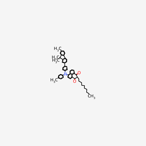 CCCCCCCCCCC1C(=O)c2cccc3c(N(c4ccc(C)cc4)c4ccc(-c5ccc6c(c5)C(C)(C)c5cc(C)ccc5-6)cc4)ccc(c23)C1=O